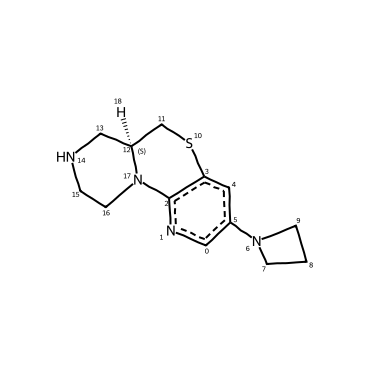 c1nc2c(cc1N1CCC1)SC[C@@H]1CNCCN21